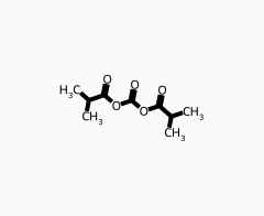 CC(C)C(=O)OC(=O)OC(=O)C(C)C